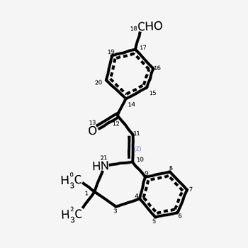 CC1(C)Cc2ccccc2/C(=C/C(=O)c2ccc(C=O)cc2)N1